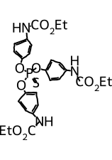 [CH2]COC(=O)Nc1ccc(OP(=S)(Oc2ccc(NC(=O)OC[CH2])cc2)Oc2ccc(NC(=O)OC[CH2])cc2)cc1